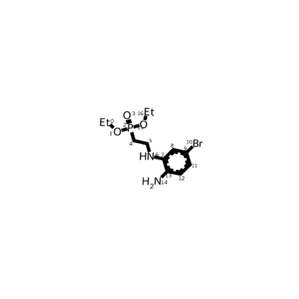 CCOP(=O)(CCNc1cc(Br)ccc1N)OCC